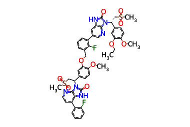 CCOc1cc([C@@H](CS(C)(=O)=O)n2c(=O)[nH]c3cc(-c4cccc(COc5cc(C(CS(C)(=O)=O)n6c(=O)[nH]c7c(-c8ccccc8F)ccnc76)ccc5OC)c4F)cnc32)ccc1OC